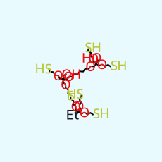 CCC(COCCCS)(COCCCS)COCCCSCCCOCC(CO)(COCCCS)COCCCCCCCOCC(CO)(COCCCS)COCCCS